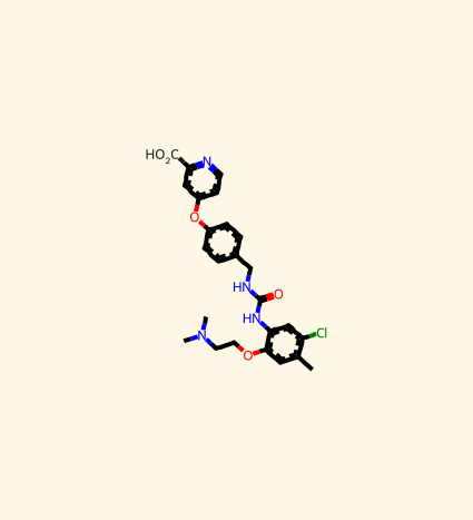 Cc1cc(OCCN(C)C)c(NC(=O)NCc2ccc(Oc3ccnc(C(=O)O)c3)cc2)cc1Cl